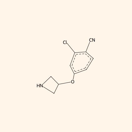 N#Cc1ccc(OC2CNC2)cc1Cl